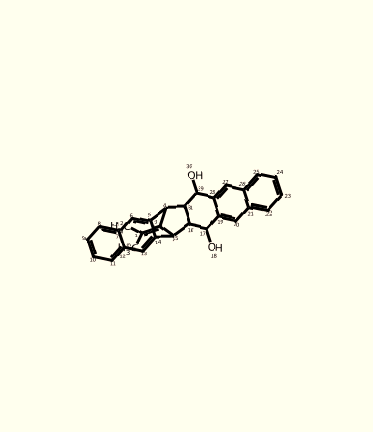 CC(C)=C1C2c3cc4ccccc4cc3C1C1C(O)c3cc4ccccc4cc3C(O)C21